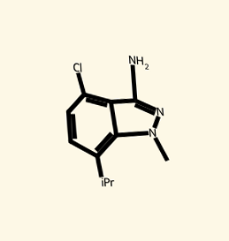 CC(C)c1ccc(Cl)c2c(N)nn(C)c12